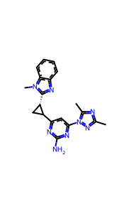 Cc1nc(C)n(-c2cc(C3C[C@@H]3c3nc4ccccc4n3C)nc(N)n2)n1